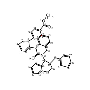 COC(=O)c1ccc(-c2ccccc2CC(=O)N(Cc2ccccc2)C2c3ccccc3CCC2Cc2ccccc2)cc1